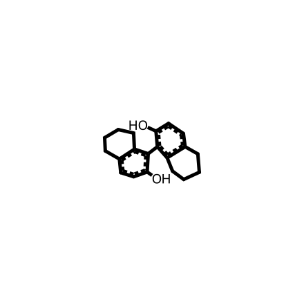 Oc1ccc2c(c1-c1c(O)ccc3c1CCCC3)CCCC2